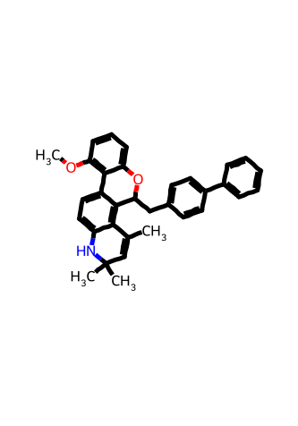 COc1cccc2c1-c1ccc3c(c1C(Cc1ccc(-c4ccccc4)cc1)O2)C(C)=CC(C)(C)N3